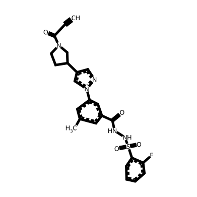 C#CC(=O)N1CCC(c2cnn(-c3cc(C)cc(C(=O)NNS(=O)(=O)c4ccccc4F)c3)c2)C1